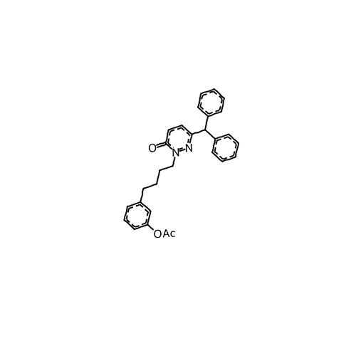 CC(=O)Oc1cccc(CCCCn2nc(C(c3ccccc3)c3ccccc3)ccc2=O)c1